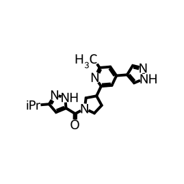 Cc1cc(-c2cn[nH]c2)cc(C2CCN(C(=O)c3cc(C(C)C)n[nH]3)C2)n1